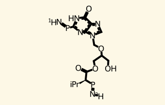 [1H]/N=P/c1nc2c(ncn2COC(CO)COC(=O)[C@@H](/P=N/[2H])C(C)C)c(=O)[nH]1